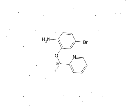 C[C@H](Oc1cc(Br)ccc1N)c1ccccn1